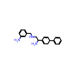 Nc1cccc(CNCC(N)C2=CCC(c3ccccc3)C=C2)c1